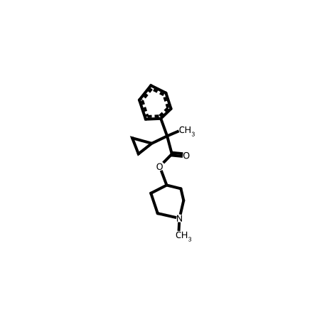 CN1CCC(OC(=O)C(C)(c2ccccc2)C2CC2)CC1